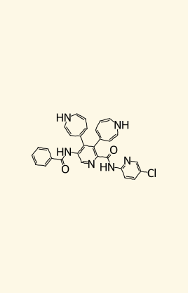 O=C(Nc1cnc(C(=O)Nc2ccc(Cl)cn2)c(C2=CC=CNC=C2)c1C1=CC=CNC=C1)c1ccccc1